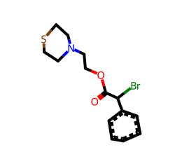 O=C(OCCN1CCSCC1)C(Br)c1ccccc1